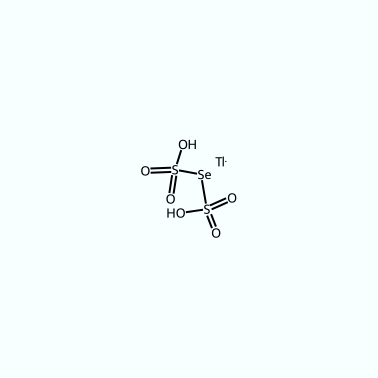 O=S(=O)(O)[Se]S(=O)(=O)O.[Tl]